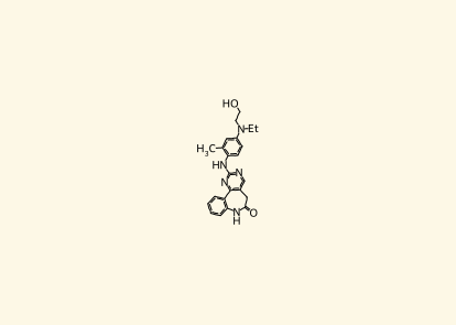 CCN(CCO)c1ccc(Nc2ncc3c(n2)-c2ccccc2NC(=O)C3)c(C)c1